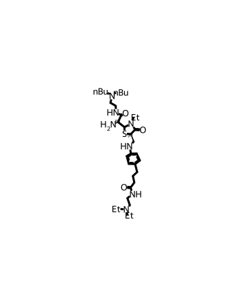 CCCCN(CCCC)CCNC(=O)[C@@H](N)C1S[C@H](CNc2ccc(CCCC(=O)NCCN(CC)CC)cc2)C(=O)N1CC